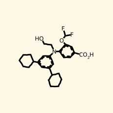 O=C(O)c1ccc(N(CCO)c2cc(C3CCCCC3)cc(C3CCCCC3)c2)c(OC(F)F)c1